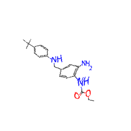 CCOC(=O)Nc1ccc(CNc2ccc(C(C)(C)C)cc2)cc1N